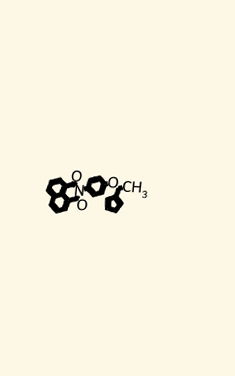 CC(Oc1ccc(N2C(=O)c3cccc4cccc(c34)C2=O)cc1)C1=CCC=C1